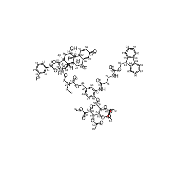 CCN(COCC(=O)[C@@]12O[C@H](c3cccc(F)c3)O[C@@H]1C[C@H]1[C@@H]3C[C@H](F)C4=CC(=O)C=C[C@]4(C)[C@@]3(F)[C@@H](O)C[C@@]12C)C(=O)OCc1ccc(O[C@@H]2O[C@H](C(=O)OC)[C@@H](OC(C)=O)[C@H](OC(C)=O)[C@H]2OC(C)=O)c(NC(=O)CCNC(=O)OCC2c3ccccc3-c3ccccc32)c1